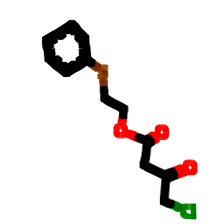 O=C(CCl)CC(=O)OCCSc1ccccc1